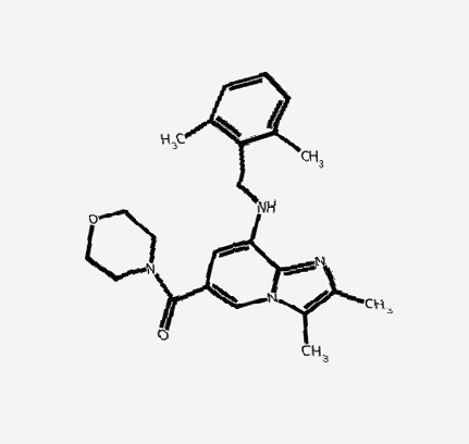 Cc1cccc(C)c1CNc1cc(C(=O)N2CCOCC2)cn2c(C)c(C)nc12